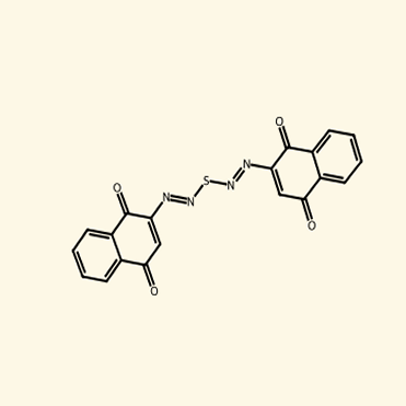 O=C1C=C(N=NSN=NC2=CC(=O)c3ccccc3C2=O)C(=O)c2ccccc21